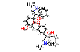 CN(C)CC(c1ccc(O)c(Cc2cc(C(CN(C)C)C3(O)CCCCC3)ccc2O)c1)C1(O)CCCCC1